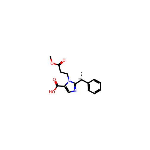 COC(=O)CCn1c(C(=O)O)cnc1[C@H](C)c1ccccc1